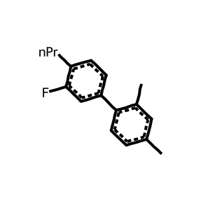 CCCc1ccc(-c2ccc(C)cc2C)cc1F